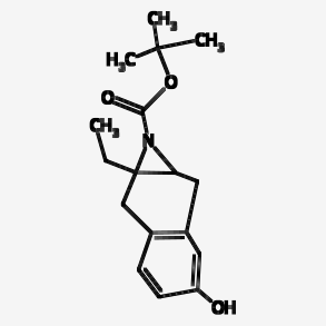 CCC12Cc3ccc(O)cc3CC1N2C(=O)OC(C)(C)C